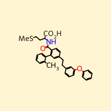 CSCCC(NC(=O)c1ccc(CCc2cccc(Oc3ccccc3)c2)cc1-c1ccccc1C)C(=O)O